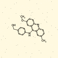 COc1ccc2nc3ccc(C)cc3c(Nc3ccc(CO)cc3)c2c1